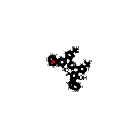 COc1cc(-c2cc(C(C)(C)C)ccc2-c2cc(C)cc(C34CC5CC(CC(C5)C3)C4)c2)nc(-c2cc(C(C)(C)C)ccc2-c2cc(C)cc(C34CC5CC(CC(C5)C3)C4)c2O)c1